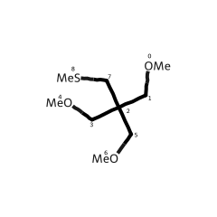 COCC(COC)(COC)CSC